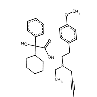 CC#CCN(CC)CCc1ccc(OC)cc1.O=C(O)C(O)(c1ccccc1)C1CCCCC1